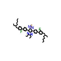 CCCCCC(CC)Cc1ccc(-c2ccc(-c3c4nsnc4c(-c4ccc(-c5ccc(CC(CC)CCCCC)cc5F)cc4)c4nc(CC)c(CC)nc34)cc2)c(F)c1